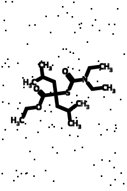 CCOC(=O)C(CC(C)C)(CC(C)C)SC(=O)N(CC)CC